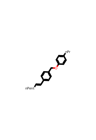 CCCCC/C=C/c1ccc(COc2ccc(CCC)cc2)cc1